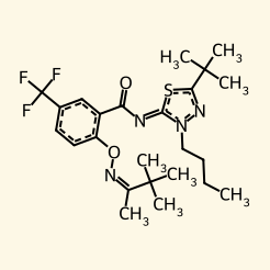 CCCCn1nc(C(C)(C)C)sc1=NC(=O)c1cc(C(F)(F)F)ccc1ON=C(C)C(C)(C)C